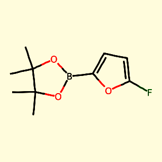 CC1(C)OB(c2ccc(F)o2)OC1(C)C